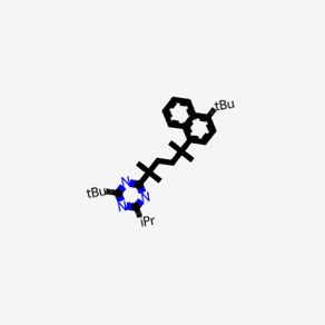 CC(C)c1nc(C(C)(C)C)nc(C(C)(C)CCC(C)(C)c2ccc(C(C)(C)C)c3ccccc23)n1